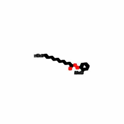 CCCCCCCCC=CCCCCCCCC(=O)OOc1ccccc1OC